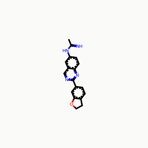 CC(=N)Nc1ccc2nc(-c3ccc4c(c3)OCC4)ncc2c1